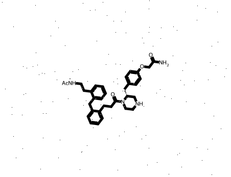 CC(=O)NCCc1ccccc1Cc1ccccc1CCC(=O)N1CCNC[C@H]1Cc1ccc(OCC(N)=O)cc1